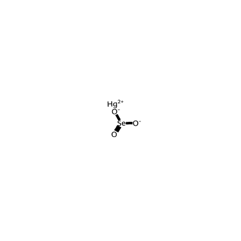 O=[Se]([O-])[O-].[Hg+2]